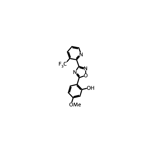 COc1ccc(-c2nc(-c3ncccc3C(F)(F)F)no2)c(O)c1